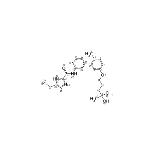 Cc1ccc(OCCCC(C)(C)O)cc1-c1ccnc(NC(=O)c2nnc(CC(C)C)[nH]2)c1